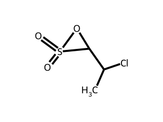 CC(Cl)C1OS1(=O)=O